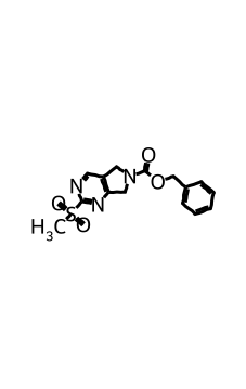 CS(=O)(=O)c1ncc2c(n1)CN(C(=O)OCc1ccccc1)C2